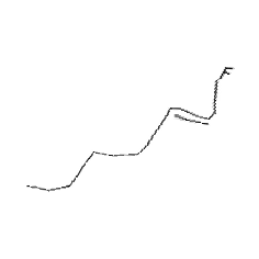 CCCC/C=C/F